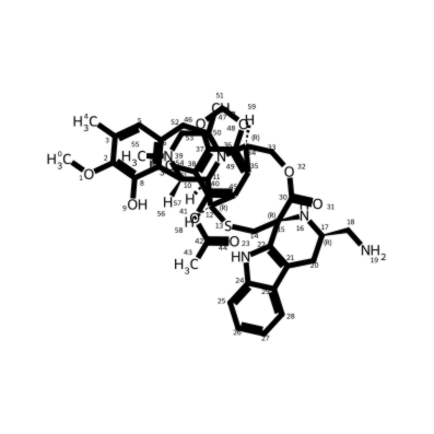 COc1c(C)cc2c(c1O)[C@H]1[C@@H]3[C@@H]4SC[C@]5(N[C@@H](CN)Cc6c5[nH]c5ccccc65)C(=O)OC[C@@H](c5c6c(c(C)c(OC(C)=O)c54)OCO6)N3C(C)(C2)CN1C